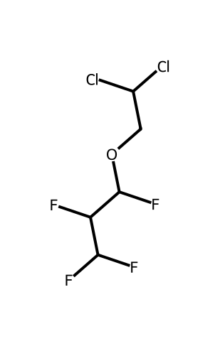 FC(F)C(F)C(F)OCC(Cl)Cl